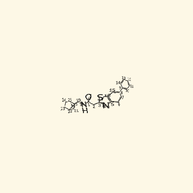 O=C(Cc1nc2ccc(-c3ccccc3)cc2s1)NCC1CC2CCC1C2